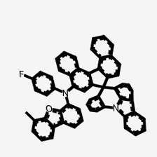 Cc1cccc2c1oc1c(N(c3ccc(F)cc3)c3cc4c(c5ccccc35)-c3c(ccc5ccccc35)C43c4ccccc4-n4c5ccccc5c5cccc3c54)cccc12